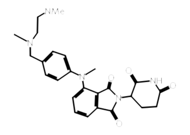 CNCCN(C)Cc1ccc(N(C)c2cccc3c2C(=O)N(C2CCC(=O)NC2=O)C3=O)cc1